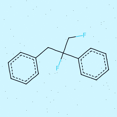 FCC(F)(Cc1ccccc1)c1ccccc1